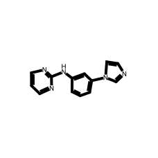 c1cnc(Nc2cccc(-n3ccnc3)c2)nc1